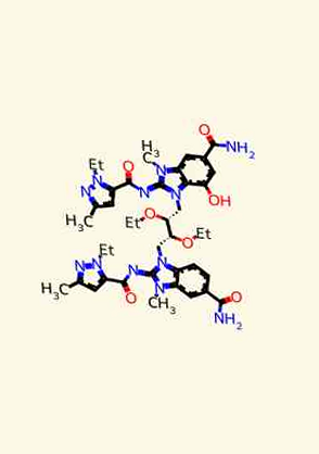 CCO[C@H](Cn1/c(=N/C(=O)c2cc(C)nn2CC)n(C)c2cc(C(N)=O)ccc21)[C@@H](Cn1/c(=N/C(=O)c2cc(C)nn2CC)n(C)c2cc(C(N)=O)cc(O)c21)OCC